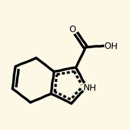 O=C(O)c1[nH]cc2c1CC=CC2